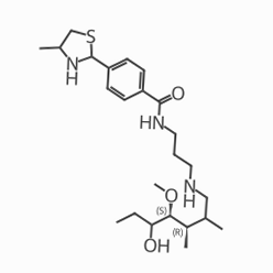 CCC(O)[C@@H](OC)[C@H](C)C(C)CNCCCNC(=O)c1ccc(C2NC(C)CS2)cc1